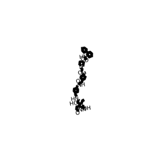 C=CC/C(=c1/ccc(=O)[nH]/c1=C(/C)O)[C@@H](O)CNCCc1ccc(CNC(=O)Cc2ccc(N(C)C(=O)CCN3CCC(OC(=O)Nc4ccccc4-c4ccccc4)CC3)cc2)cc1